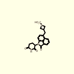 O=C1CCC(N2C(=O)c3cccc4c(CC5CN(C(=O)O)C5)ccc2c34)C(=O)N1